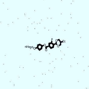 CCCCCCCOc1ccc(OC(=O)c2ccc(C3OCC(CC)CO3)c(F)c2)cc1